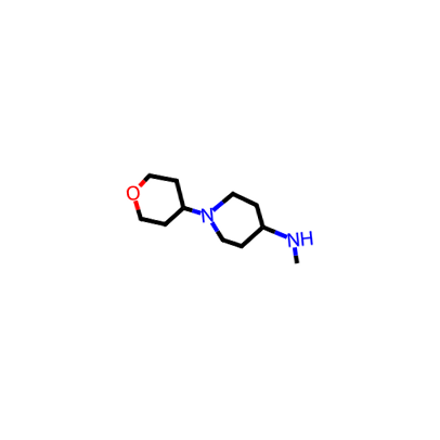 CNC1CCN(C2CCOCC2)CC1